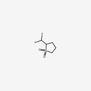 O=S1(=O)CCCC1C(F)F